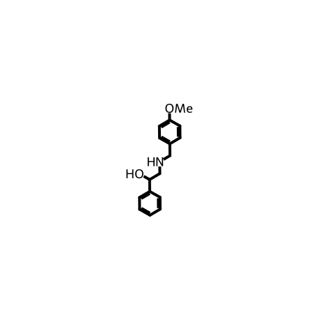 COc1ccc(CNCC(O)c2ccccc2)cc1